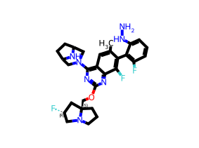 Cc1cc2c(N3CC4CCC(C3)N4)nc(OC[C@@]34CCCN3C[C@H](F)C4)nc2c(F)c1-c1c(F)cccc1NN